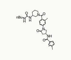 CCCCNC(=O)NC1CCCN(C(=O)c2ccc(N3CC(NC(=O)c4ccc(C)s4)CC3=O)cc2C)C1